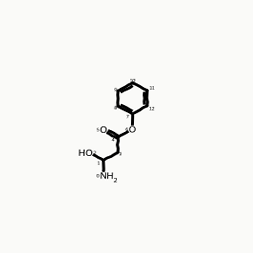 NC(O)CC(=O)Oc1ccccc1